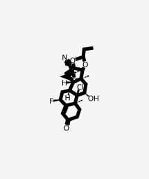 CCC1O[C@@H]2C[C@H]3[C@@H]4C[C@H](F)C5=CC(=O)CC[C@]5(C)[C@@]4(Cl)[C@@H](O)C[C@]3(C)[C@]2(C2(C#N)CO2)O1